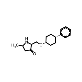 CC1CC(=O)C(CO[C@H]2CC[C@@H](c3ccccc3)CC2)N1